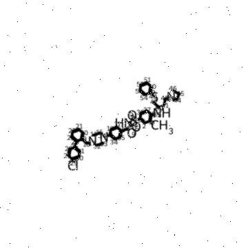 Cc1cc(S(=O)(=O)NC(=O)c2ccc(N3CCN(Cc4ccccc4-c4ccc(Cl)cc4)CC3)cc2)ccc1N[C@H](CCN1CCC1)CSc1ccccc1